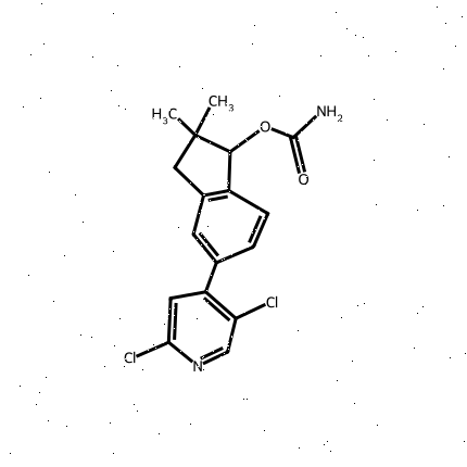 CC1(C)Cc2cc(-c3cc(Cl)ncc3Cl)ccc2C1OC(N)=O